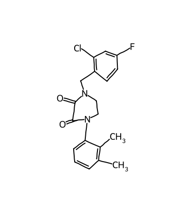 Cc1cccc(N2CCN(Cc3ccc(F)cc3Cl)C(=O)C2=O)c1C